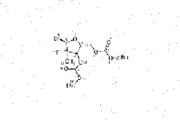 CC(C)(C)OC(=O)OC[C@H]1O[C@H](Br)[C@](C)(F)[C@@H]1OC(=O)OC(C)(C)C